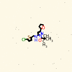 CC(C)(C)C(=O)n1nc(C2CCCO2)cc1NCc1ccc(Cl)s1